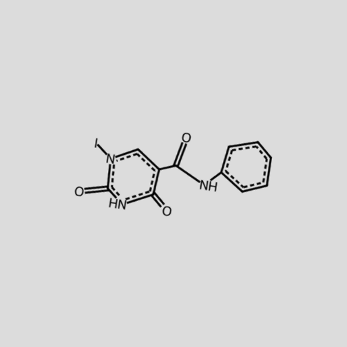 O=C(Nc1ccccc1)c1cn(I)c(=O)[nH]c1=O